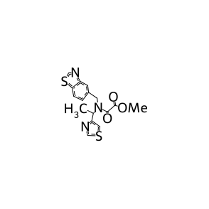 COC(=O)C(=O)N(Cc1ccc2scnc2c1)C(C)c1cscn1